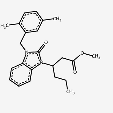 CCCC(CC(=O)OC)n1c(=O)n(Cc2cc(C)ccc2C)c2ccccc21